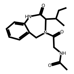 CCC(C)C1C(=O)Nc2ccccc2CN1C(=O)CNC(C)=O